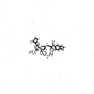 Cc1nc(N2C[C@@H](CC(O)Nc3ccc4ncsc4c3)C[C@H]2C(=O)O)c2oc3ccccc3c2n1